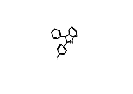 Ic1ccc(C2=Nc3ccccc3C2C2=CCCC=C2)cc1